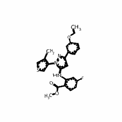 CCOc1cccc(-c2cc(Nc3cc(F)ccc3C(=O)OC)n(-c3cscc3C)n2)c1